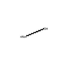 CCCCCCCCCCCCCCCCC/C=C/C=C/CCCO